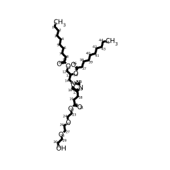 CCCCCCCCCC(=O)OCC(Cn1cc(CCC(=O)OCCOCCOCCO)nn1)OC(=O)CCCCCCCCC